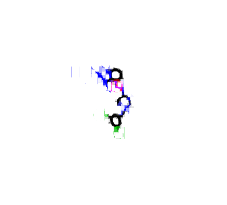 Nc1nc(N)c2c(OCC3CCN(Cc4cc(Cl)cc(Cl)c4)CC3)cccc2n1